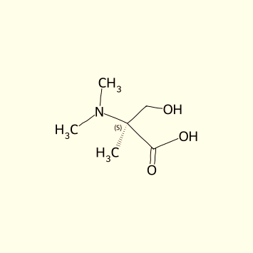 CN(C)[C@@](C)(CO)C(=O)O